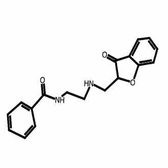 O=C(NCCNCC1Oc2ccccc2C1=O)c1ccccc1